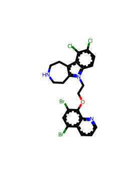 Clc1ccc2c(c1Cl)c1c(n2CCOc2c(Br)cc(Br)c3cccnc23)CCNCC1